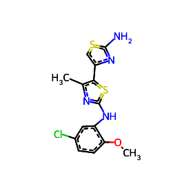 COc1ccc(Cl)cc1Nc1nc(C)c(-c2csc(N)n2)s1